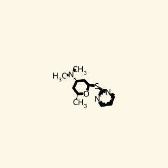 C[C@@H]1C[C@H](N(C)C)CC(Sc2ncccn2)O1